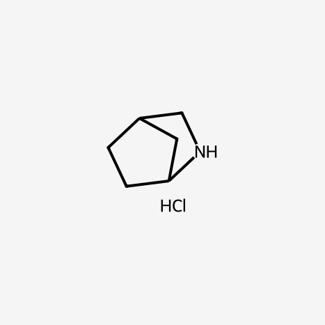 C1CC2CC1CN2.Cl